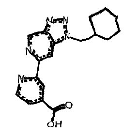 O=C(O)c1ccnc(-c2cc3c(cn2)nnn3CC2CCCCC2)c1